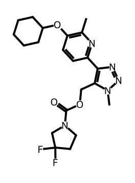 Cc1nc(-c2nnn(C)c2COC(=O)N2CCC(F)(F)C2)ccc1OC1CCCCC1